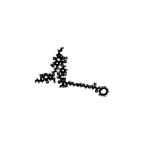 C/C=C/C1=CN2C(=O)c3cc(OC)c(OCCCOc4cc5c(cc4OC)C(=O)N4C=C(/C=C/C)C[C@H]4[C@H](O)N5C(=O)OCc4ccc(NC(=O)[C@H](C)NC(=O)[C@@H](NC(=O)CCOCCOCCOCCOCCNC(=O)CC5CCCCCCCCC5)C(C)C)cc4)cc3N=C[C@@H]2C1